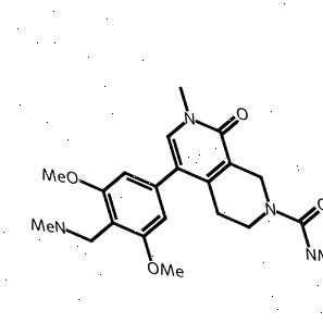 CNCc1c(OC)cc(-c2cn(C)c(=O)c3c2CCN(C(=O)NC)C3)cc1OC